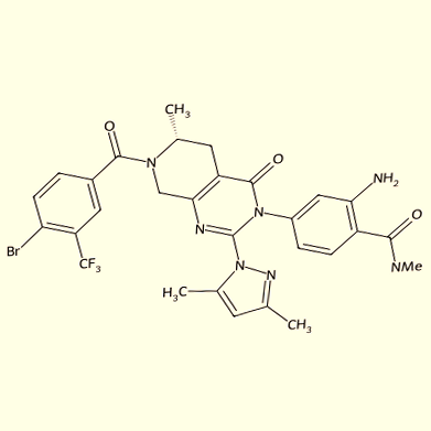 CNC(=O)c1ccc(-n2c(-n3nc(C)cc3C)nc3c(c2=O)C[C@@H](C)N(C(=O)c2ccc(Br)c(C(F)(F)F)c2)C3)cc1N